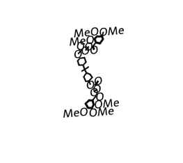 COc1ccc(C(=O)OOC(=O)OC2CCC(C(C)(C)C3CCC(OC(=O)OOC(=O)c4ccc(OC)c(OC)c4OC)CC3)CC2)c(OC)c1OC